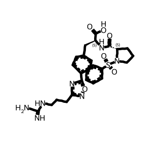 N=C(N)NCCCc1noc(-c2ccc(C[C@H](NC(=O)[C@@H]3CCCN3S(=O)(=O)c3ccccc3)C(=O)O)cc2)n1